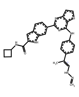 C=NN/C=C(\C)c1ccc(Nc2nc(-c3ccc4cc(C(=O)NC5CCC5)[nH]c4c3)nc3ccsc23)cc1